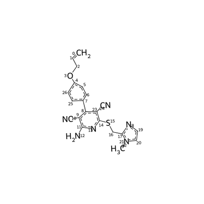 C=CCOc1ccc(-c2c(C#N)c(N)nc(SCc3nccn3C)c2C#N)cc1